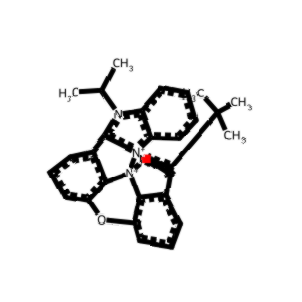 CC(C)n1c2[n+](c3ccccc31)[N+]13c4c(cccc4-c4cc(C(C)(C)C)cc[n+]41)Oc1cccc-2c13